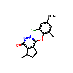 CC(=O)Nc1cc(C)c(Oc2n[nH]c(=O)c3c2CCC3C)c(Cl)c1